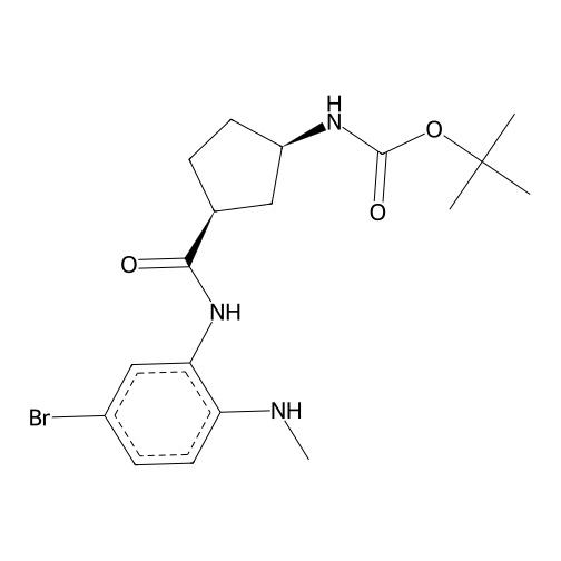 CNc1ccc(Br)cc1NC(=O)[C@H]1CC[C@@H](NC(=O)OC(C)(C)C)C1